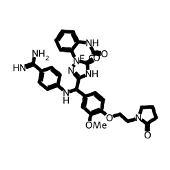 COc1cc(C(Nc2ccc(C(=N)N)cc2)c2nn(-c3ccccc3NC(=O)C(F)(F)F)c(=O)[nH]2)ccc1OCCN1CCCC1=O